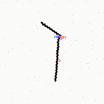 CCCCCCCCCCCCCCCC[C@@H](CO)NC(=O)CCCCCCCCCCCCCCCC(=O)CCCCCCCCCCCCCCC